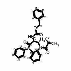 CC(C)C(=O)N1CC(NC(=O)OCc2ccccc2)C(=O)N(c2ccccc2)c2ccccc21